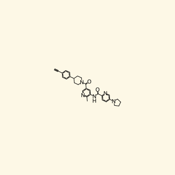 C#Cc1ccc(C2CCN(C(=O)c3cnc(C)c(NC(=O)c4ccc(N5CCCC5)cn4)c3)CC2)cc1